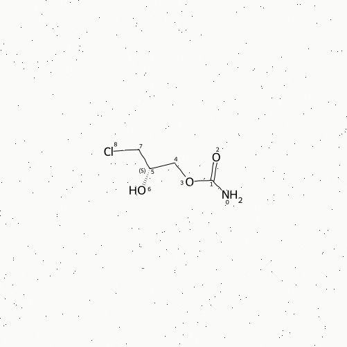 NC(=O)OC[C@H](O)CCl